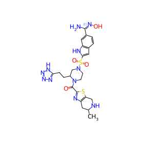 CC1Cc2nc(C(=O)N3CCN(S(=O)(=O)c4cc5ccc(/C(N)=N\O)cc5[nH]4)CC3CCc3nnn[nH]3)sc2CN1